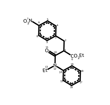 CCOC(=O)C(Cc1ccc([N+](=O)[O-])cc1)C(=O)N(CC)c1ccccc1